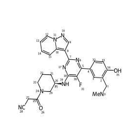 CNCc1cc(-c2nc(-c3cnn4ccccc34)nc(N[C@@H]3CCCN(C(=O)CC#N)C3)c2F)ccc1O